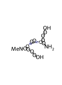 CNCCOc1ccc(/C=C/C(=O)CC(=O)/C=C/c2ccc(OCCN)c(OCCOCCOCCO)c2)cc1OCCOCCOCCO